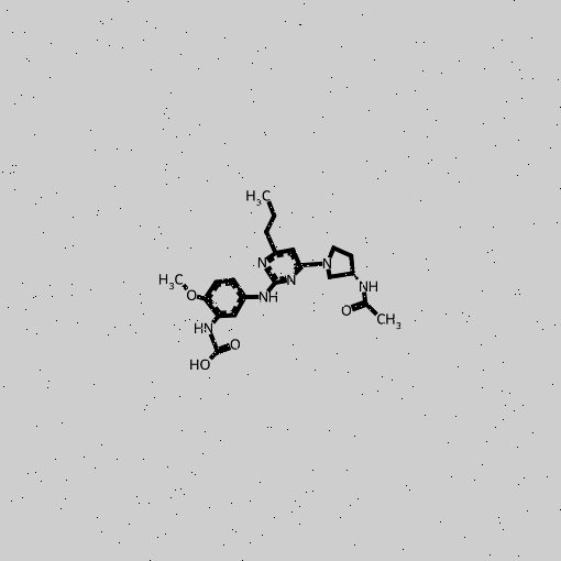 CCCc1cc(N2CC[C@H](NC(C)=O)C2)nc(Nc2ccc(OC)c(NC(=O)O)c2)n1